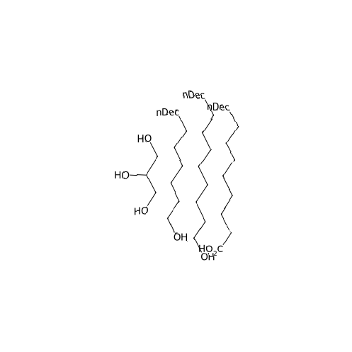 CCCCCCCCCCCCCCCCCC(=O)O.CCCCCCCCCCCCCCCCCCO.CCCCCCCCCCCCCCCCO.OCC(O)CO